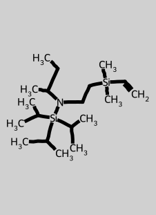 C=C[Si](C)(C)CCN(C(C)CC)[Si](C(C)C)(C(C)C)C(C)C